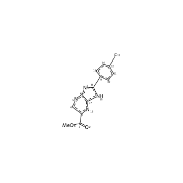 COC(=O)c1cnc2nc(-c3ccc(F)cc3)[nH]c2n1